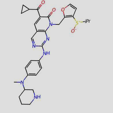 CC(C)[S+]([O-])c1ccoc1Cn1c(=O)c(C(=O)C2CC2)cc2cnc(Nc3ccc(N(C)C4CCCNC4)cc3)nc21